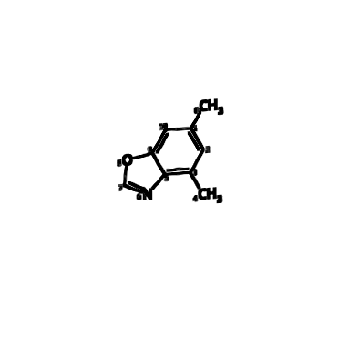 Cc1cc(C)c2ncoc2c1